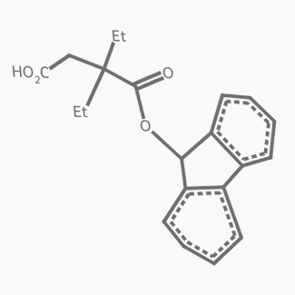 CCC(CC)(CC(=O)O)C(=O)OC1c2ccccc2-c2ccccc21